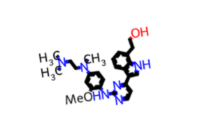 COc1cc(N(C)CCN(C)C)ccc1Nc1nccc(-c2c[nH]c3c(CCO)cccc23)n1